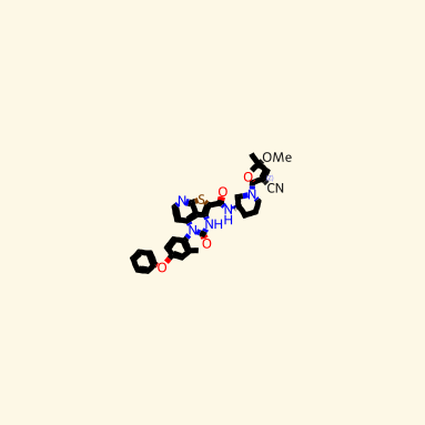 COC(C)(C)/C=C(/C#N)C(=O)N1CCC[C@@H](NC(=O)c2sc3nccc4c3c2NC(=O)N4c2ccc(Oc3ccccc3)cc2C)C1